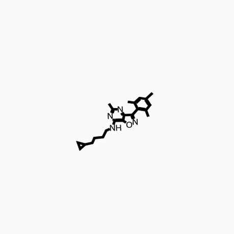 Cc1cc(C)c(-c2noc3c(NCCCCC4CC4)nc(C)nc23)c(C)c1